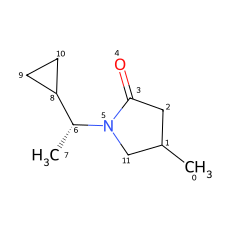 CC1CC(=O)N([C@H](C)C2CC2)C1